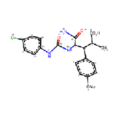 COc1ccc(C(C(C)C(=O)O)C(NC(=O)Nc2ccc(Cl)cc2)C(N)=O)cc1